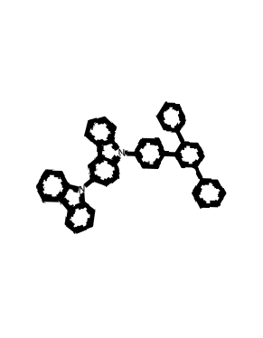 c1ccc(-c2ccc(-c3ccccc3)c(-c3ccc(-n4c5ccccc5c5cc(-n6c7ccccc7c7ccccc76)ccc54)cc3)c2)cc1